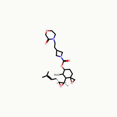 COC1C(OC(=O)N2CC(CCN3CCOCC3=O)C2)CCC2(CO2)C1[C@@]1(C)O[C@@H]1CC=C(C)C